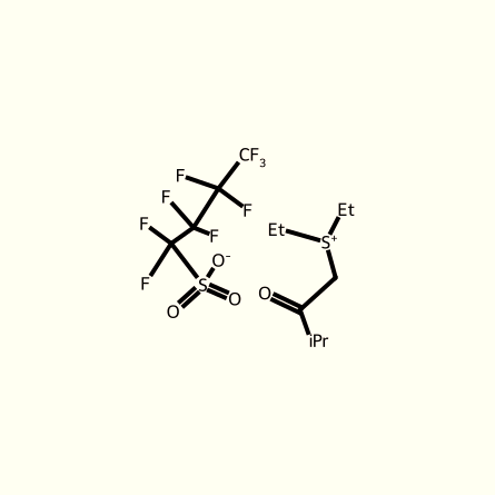 CC[S+](CC)CC(=O)C(C)C.O=S(=O)([O-])C(F)(F)C(F)(F)C(F)(F)C(F)(F)F